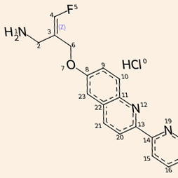 Cl.NC/C(=C/F)COc1ccc2nc(-c3ccccn3)ccc2c1